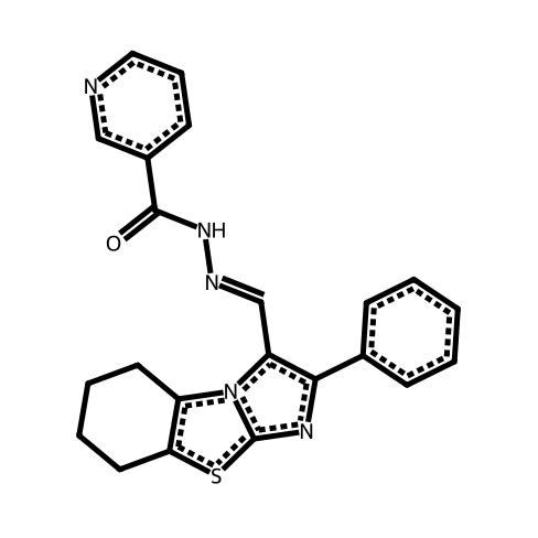 O=C(NN=Cc1c(-c2ccccc2)nc2sc3c(n12)CCCC3)c1cccnc1